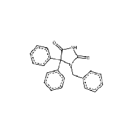 O=C1NC(=O)C(c2ccccc2)(c2ccccc2)N1Cc1ccccc1